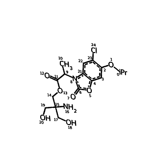 CC(C)Oc1cc2oc(=O)n(C(C)C(=O)OCC(N)(CO)CO)c2cc1Cl